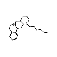 CCCCCCN1CCCC2CN3CCc4ccccc4C3CC21